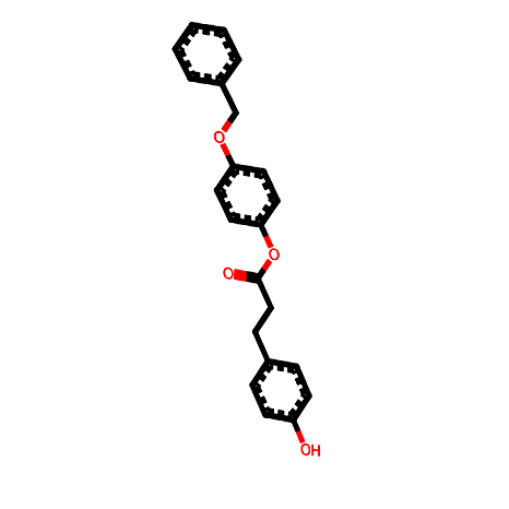 O=C(CCc1ccc(O)cc1)Oc1ccc(OCc2ccccc2)cc1